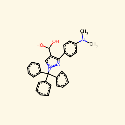 CN(C)c1ccc(-c2nn(C(c3ccccc3)(c3ccccc3)c3ccccc3)cc2B(O)O)cc1